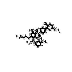 CCCCc1nc(O)c(S(=O)(=O)c2ccc(C3N=C(C)C=CC3=O)cc2)c(O)c1N(C)c1cccc(C)c1